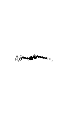 CCCCCCCCCCc1ccc(-c2ccc(OCCCCCC(C)CC)cc2)cn1